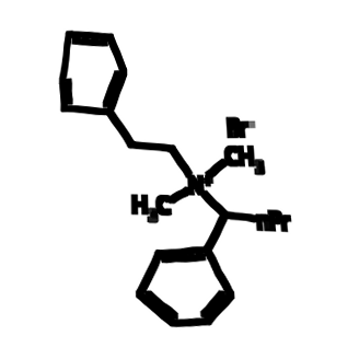 CCCC(c1ccccc1)[N+](C)(C)CCc1ccccc1.[Br-]